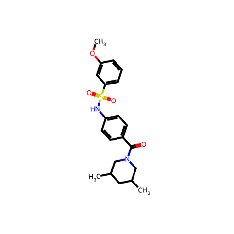 COc1cccc(S(=O)(=O)Nc2ccc(C(=O)N3CC(C)CC(C)C3)cc2)c1